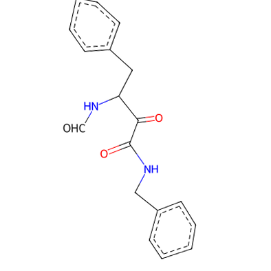 O=CNC(Cc1ccccc1)C(=O)C(=O)NCc1ccccc1